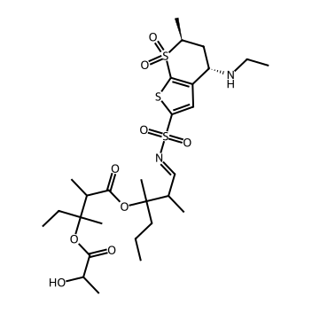 CCCC(C)(OC(=O)C(C)C(C)(CC)OC(=O)C(C)O)C(C)/C=N/S(=O)(=O)c1cc2c(s1)S(=O)(=O)[C@@H](C)C[C@@H]2NCC